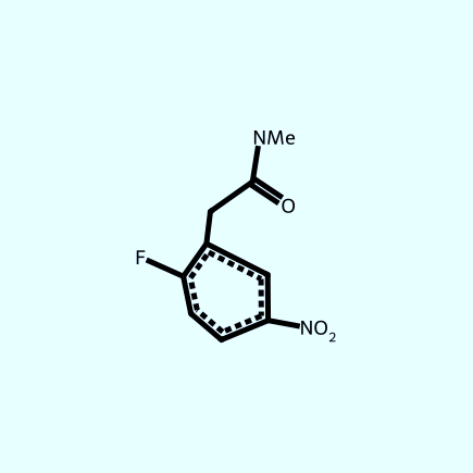 CNC(=O)Cc1cc([N+](=O)[O-])ccc1F